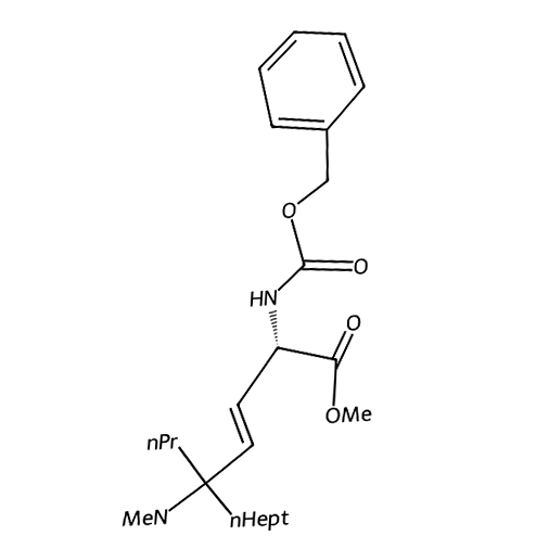 CCCCCCCC(/C=C/[C@H](NC(=O)OCc1ccccc1)C(=O)OC)(CCC)NC